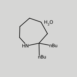 CCCCC1(CCCC)CCCCCN1.O